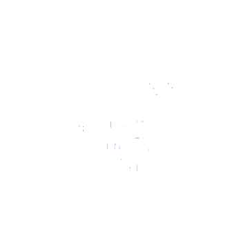 CC1(C)COc2cc(-c3ccc4nsnc4c3)ccc2C1NC(=O)O[C@H]1CN2CCC1CC2